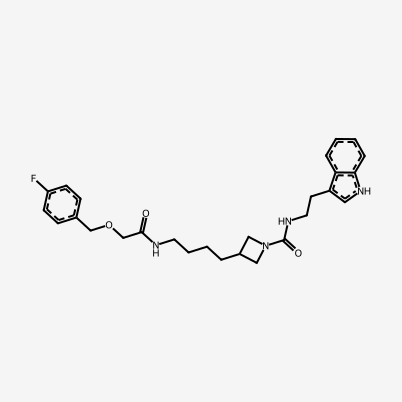 O=C(COCc1ccc(F)cc1)NCCCCC1CN(C(=O)NCCc2c[nH]c3ccccc23)C1